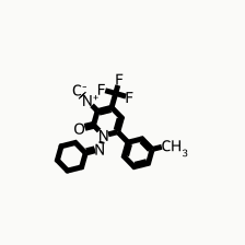 [C-]#[N+]c1c(C(F)(F)F)cc(-c2cccc(C)c2)n(N=C2CCCCC2)c1=O